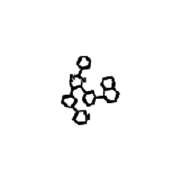 c1ccc(-c2ncc(-c3cccc(-c4cccnc4)c3)c(-c3cccc(-c4cccc5ccccc45)c3)n2)cc1